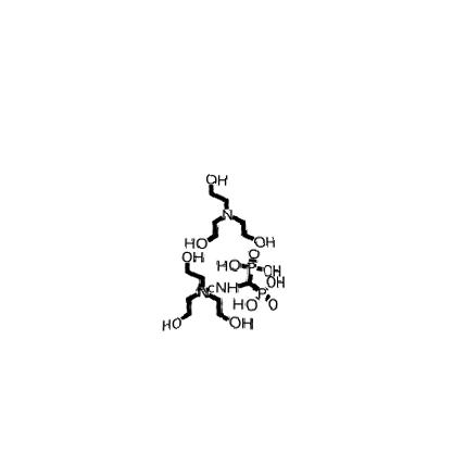 CC(=O)NC(P(=O)(O)O)P(=O)(O)O.OCCN(CCO)CCO.OCCN(CCO)CCO